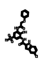 CCS(=O)(=O)c1cc(NC(=O)COc2ccccc2)c(O)c(NC(=O)c2cc3cc(Cl)ccc3[nH]2)c1